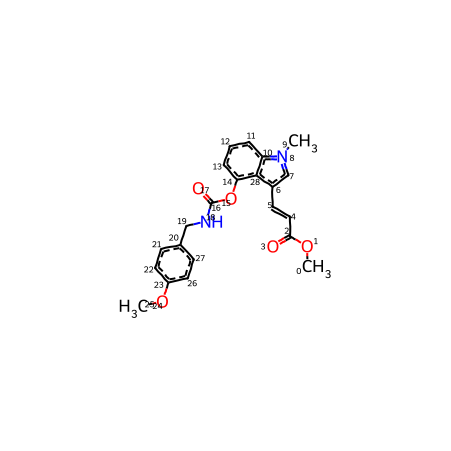 COC(=O)C=Cc1cn(C)c2cccc(OC(=O)NCc3ccc(OC)cc3)c12